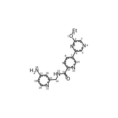 CCOc1cncc(-c2ccc(C(=O)NCc3cc(N)ccn3)nc2)n1